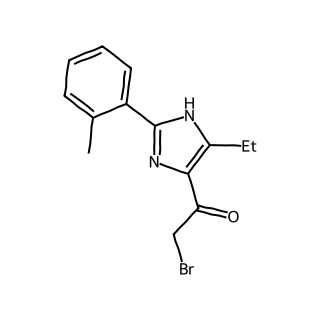 CCc1[nH]c(-c2ccccc2C)nc1C(=O)CBr